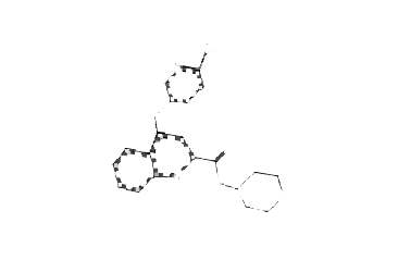 O=C(NC1CCOCC1)c1cc(Cc2ccc(Cl)nc2)c2ccccc2n1